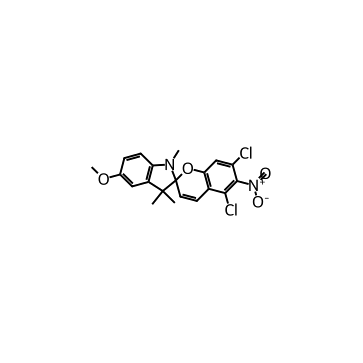 COc1ccc2c(c1)C(C)(C)C1(C=Cc3c(cc(Cl)c([N+](=O)[O-])c3Cl)O1)N2C